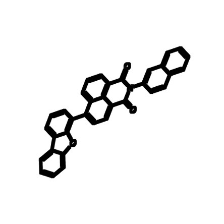 O=C1c2cccc3c(-c4cccc5c4oc4ccccc45)ccc(c23)C(=O)N1c1ccc2ccccc2c1